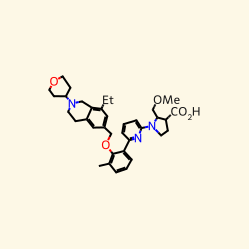 CCc1cc(COc2c(C)cccc2-c2cccc(N3CCC(C(=O)O)C3COC)n2)cc2c1CN(C1CCOCC1)CC2